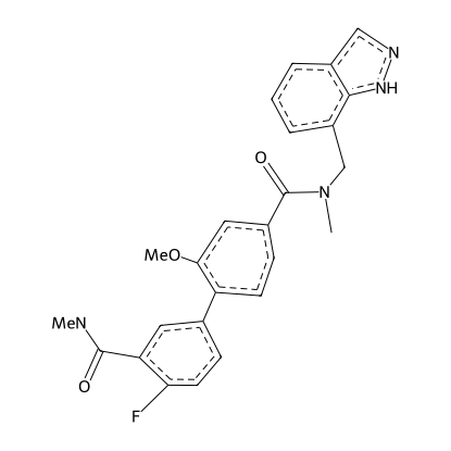 CNC(=O)c1cc(-c2ccc(C(=O)N(C)Cc3cccc4cn[nH]c34)cc2OC)ccc1F